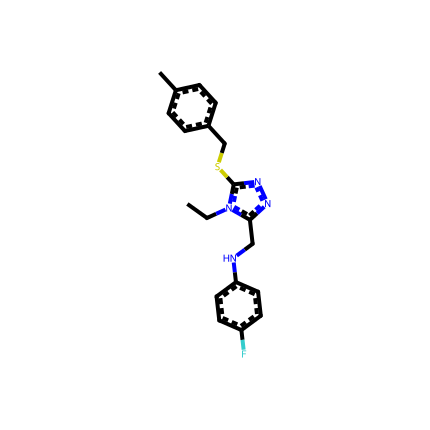 CCn1c(CNc2ccc(F)cc2)nnc1SCc1ccc(C)cc1